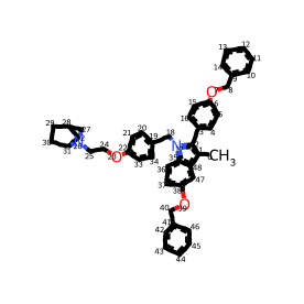 Cc1c(-c2ccc(OCc3ccccc3)cc2)n(Cc2ccc(OCCN3CC4CCC3C4)cc2)c2ccc(OCc3ccccc3)cc12